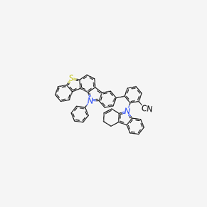 N#Cc1cccc(-c2ccc3c(c2)c2ccc4sc5ccccc5c4c2n3-c2ccccc2)c1-n1c2c(c3ccccc31)CCC=C2